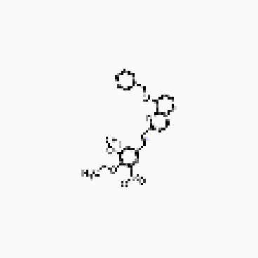 CCOc1c(OC)cc(/C=C/c2ccc3cccc(OCc4ccccc4)c3n2)cc1[N+](=O)[O-]